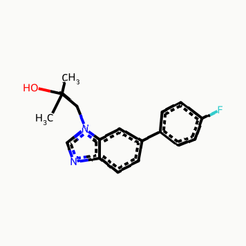 CC(C)(O)Cn1cnc2ccc(-c3ccc(F)cc3)cc21